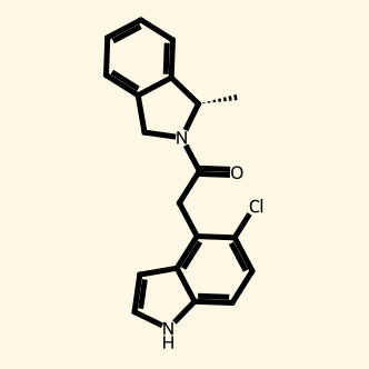 C[C@H]1c2ccccc2CN1C(=O)Cc1c(Cl)ccc2[nH]ccc12